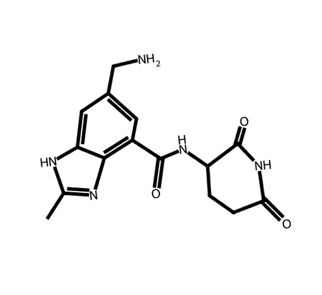 Cc1nc2c(C(=O)NC3CCC(=O)NC3=O)cc(CN)cc2[nH]1